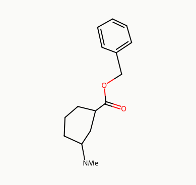 CNC1CCCC(C(=O)OCc2ccccc2)C1